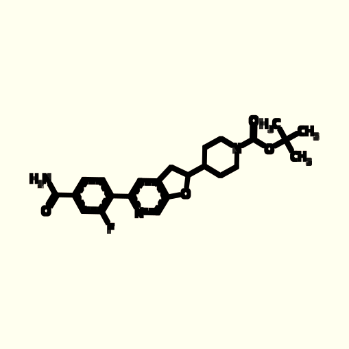 CC(C)(C)OC(=O)N1CCC(C2Cc3cc(-c4ccc(C(N)=O)cc4F)ncc3O2)CC1